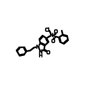 Cc1ccccc1S(=O)(=O)N(Cl)c1ccc2c(c1)c(=O)[nH]n2CCc1ccccc1